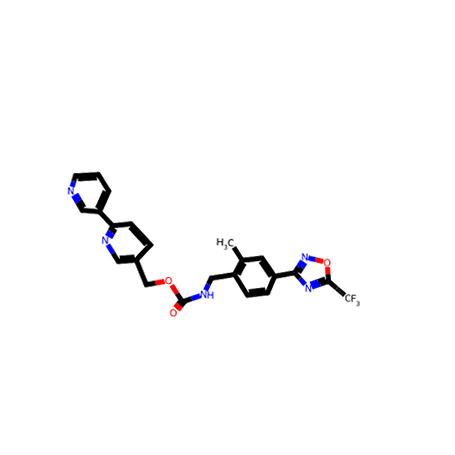 Cc1cc(-c2noc(C(F)(F)F)n2)ccc1CNC(=O)OCc1ccc(-c2cccnc2)nc1